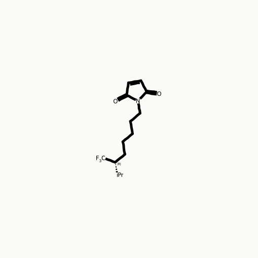 CC(C)[C@@H](CCCCCN1C(=O)C=CC1=O)C(F)(F)F